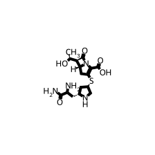 C[C@@H](O)[C@H]1C(=O)N2C(C(=O)O)=C(S[C@@H]3CN[C@H](CC(N)C(N)=O)C3)C[C@H]12